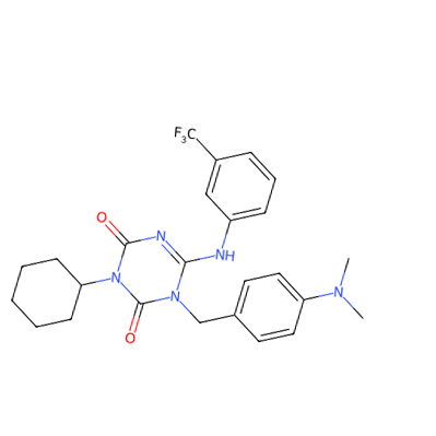 CN(C)c1ccc(Cn2c(Nc3cccc(C(F)(F)F)c3)nc(=O)n(C3CCCCC3)c2=O)cc1